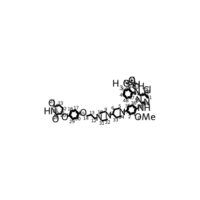 COc1cc(N2CCC(N3CCN(CCCOc4ccc(OC5CCC(=O)NC5=O)cc4)CC3)CC2)ccc1Nc1ncc(Cl)c(Nc2ccccc2P(C)(C)=O)n1